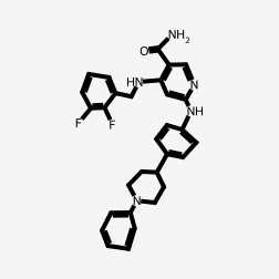 NC(=O)c1cnc(Nc2ccc(C3CCN(c4ccccc4)CC3)cc2)cc1NCc1cccc(F)c1F